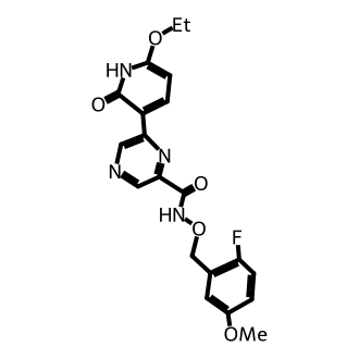 CCOc1ccc(-c2cncc(C(=O)NOCc3cc(OC)ccc3F)n2)c(=O)[nH]1